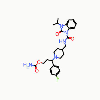 CC(C)n1c(=O)n(C(=O)NCC2CCN(C(CCOC(N)=O)c3ccc(F)cc3)CC2)c2ccccc21